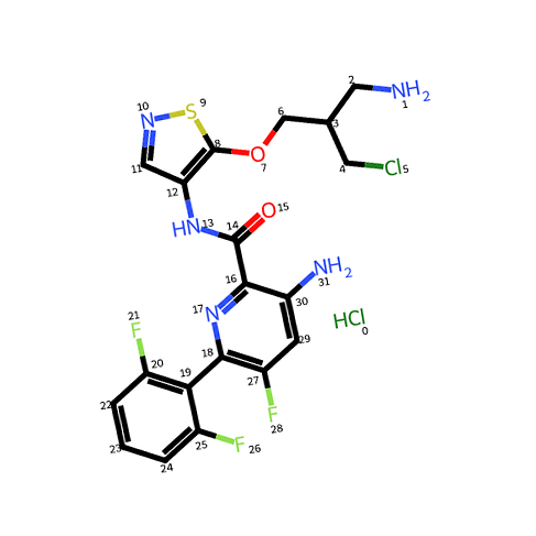 Cl.NCC(CCl)COc1sncc1NC(=O)c1nc(-c2c(F)cccc2F)c(F)cc1N